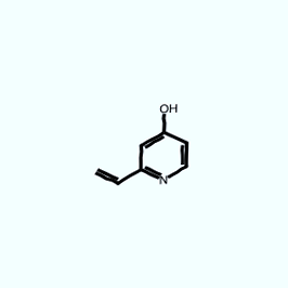 C=Cc1cc(O)ccn1